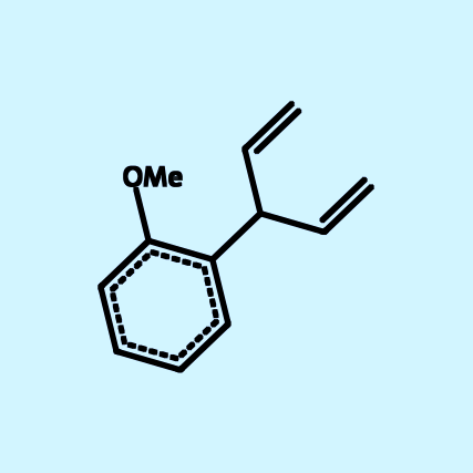 C=CC(C=C)c1ccccc1OC